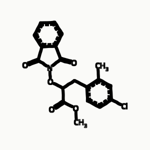 COC(=O)C(Cc1ccc(Cl)cc1C)ON1C(=O)c2ccccc2C1=O